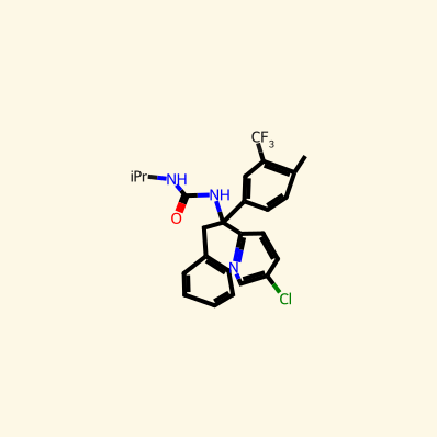 Cc1ccc(C(Cc2ccccc2)(NC(=O)NC(C)C)c2ccc(Cl)cn2)cc1C(F)(F)F